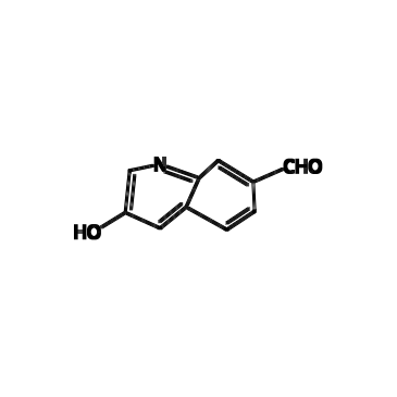 O=Cc1ccc2cc(O)cnc2c1